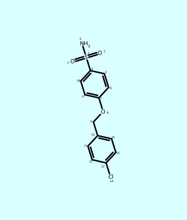 NS(=O)(=O)c1ccc(OCc2ccc(Cl)cc2)cc1